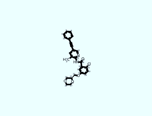 Cc1cc(C#Cc2ccccc2)cnc1NC(=O)c1cc(OC[C@@H]2COCCO2)ccc1Cl